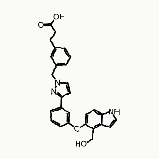 O=C(O)CCc1cccc(Cn2ccc(-c3cccc(Oc4ccc5[nH]ccc5c4CO)c3)n2)c1